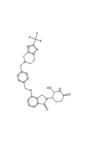 O=C1CCC(N2Cc3c(OCc4ccc(CN5CCn6nc(C(F)(F)F)nc6C5)cc4)cccc3C2=O)C(O)N1